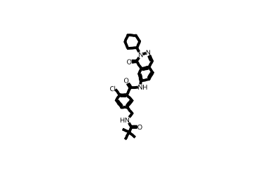 CC(C)(C)C(=O)NCc1ccc(Cl)c(C(=O)Nc2ccc3cnn(C4CCCCC4)c(=O)c3c2)c1